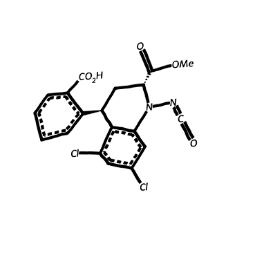 COC(=O)[C@H]1C[C@H](c2ccccc2C(=O)O)c2c(Cl)cc(Cl)cc2N1N=C=O